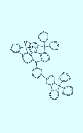 CC1(C)c2ccccc2-c2ccc(N(c3cccc(-c4ccc5c(c4)-c4ccccc4C5(c4ccccc4)c4ccccc4)c3)c3cccc4c3-c3ccccc3C4(c3ccccc3)c3ccccc3)cc21